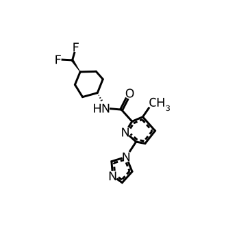 Cc1ccc(-n2ccnc2)nc1C(=O)N[C@H]1CC[C@H](C(F)F)CC1